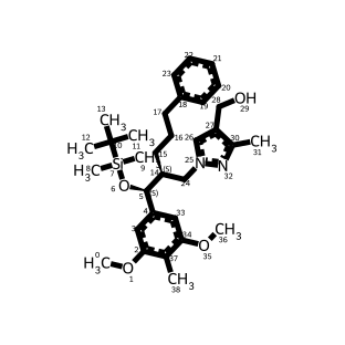 COc1cc([C@@H](O[Si](C)(C)C(C)(C)C)[C@@H](CCCc2ccccc2)Cn2cc(CO)c(C)n2)cc(OC)c1C